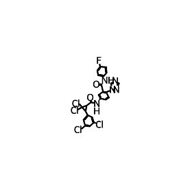 O=C(Nc1ccc(F)cc1)c1cc(NC(=O)C2C(c3cc(Cl)cc(Cl)c3)C2(Cl)Cl)ccc1-n1cncn1